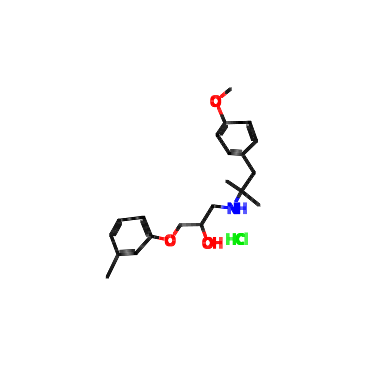 COc1ccc(CC(C)(C)NCC(O)COc2cccc(C)c2)cc1.Cl